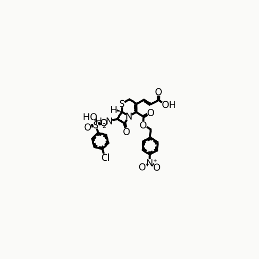 NC1C(=O)N2C(C(=O)OCc3ccc([N+](=O)[O-])cc3)=C(C=CC(=O)O)CS[C@@H]12.O=S(=O)(O)c1ccc(Cl)cc1